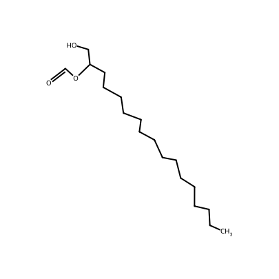 CCCCCCCCCCCCCCCC(CO)OC=O